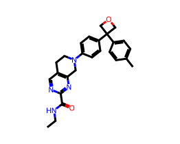 CCNC(=O)c1ncc2c(n1)CN(c1ccc(C3(c4ccc(C)cc4)COC3)cc1)CC2